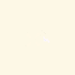 N#CN.O=S(=O)([O-])[O-].[Ca+2]